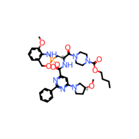 CCCCOC(=O)N1CCN(C(=O)[C@H](CP2(=O)Nc3c(cccc3OC)CO2)NC(=O)c2cc(N3CC[C@H](OC)C3)nc(-c3ccccc3)n2)CC1